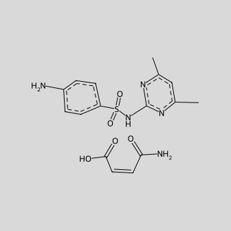 Cc1cc(C)nc(NS(=O)(=O)c2ccc(N)cc2)n1.NC(=O)/C=C\C(=O)O